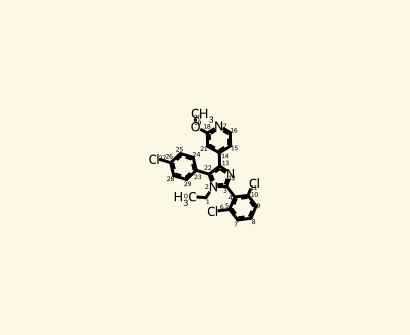 CCn1c(-c2c(Cl)cccc2Cl)nc(-c2ccnc(OC)c2)c1-c1ccc(Cl)cc1